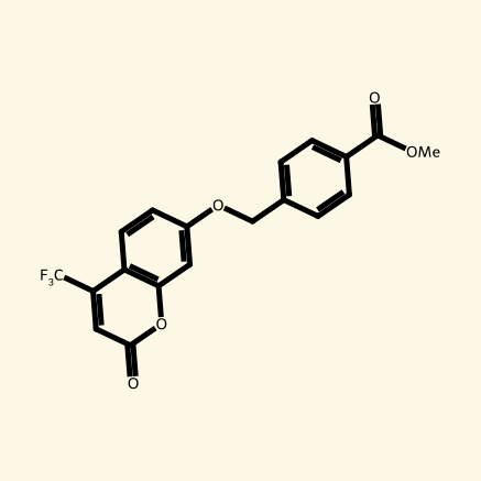 COC(=O)c1ccc(COc2ccc3c(C(F)(F)F)cc(=O)oc3c2)cc1